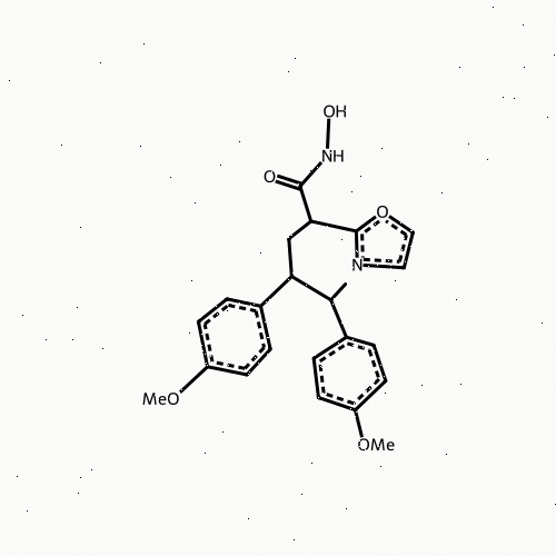 COc1ccc(C(C)C(CC(C(=O)NO)c2ncco2)c2ccc(OC)cc2)cc1